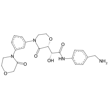 NCc1ccc(NC(=O)[C@H](O)[C@H]2OCCN(c3cccc(N4CCOCC4=O)c3)C2=O)cc1